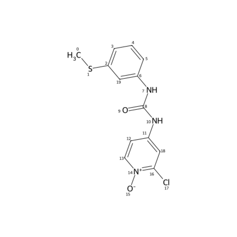 CSc1cccc(NC(=O)Nc2cc[n+]([O-])c(Cl)c2)c1